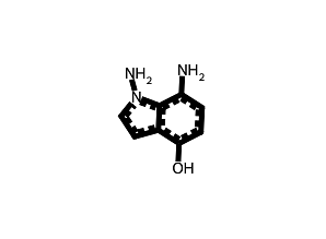 Nc1ccc(O)c2ccn(N)c12